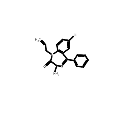 C=CCN1C(=O)C(N)N=C(c2ccccc2)c2cc(Cl)ccc21